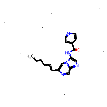 CCCCC=Cc1cn2c(NC(=O)c3ccncc3)cnc2cn1